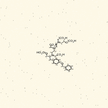 O=C(O)CN(CCOC(=O)O)CCN(CCN(CC(=O)O)C(COC(=O)O)Cc1ccc(OCc2ccccc2)cc1)CC(=O)O